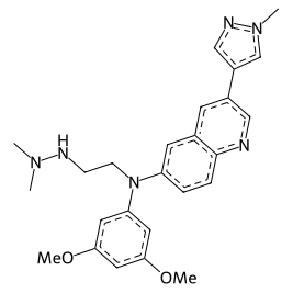 COc1cc(OC)cc(N(CCNN(C)C)c2ccc3ncc(-c4cnn(C)c4)cc3c2)c1